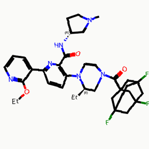 CCOc1ncccc1-c1ccc(N2CCN(C(=O)C34CC5(F)CC(F)(CC(F)(C5)C3)C4)C[C@H]2CC)c(C(=O)N[C@@H]2CCN(C)C2)n1